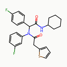 O=C(NC1CCCCC1)C(c1ccc(F)cc1)N(C(=O)Cc1cccs1)c1cccc(F)c1